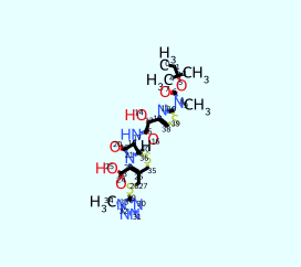 CCC(C)(C)OC(=O)N(C)c1nc(C(O)C(=O)NC2C(=O)N3C(C(=O)O)=C(CSc4nnnn4C)CS[C@@H]23)cs1